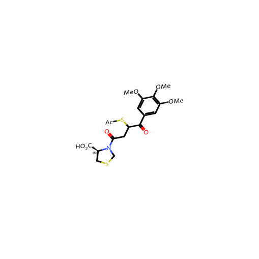 COc1cc(C(=O)C(CC(=O)N2CSC[C@H]2C(=O)O)SC(C)=O)cc(OC)c1OC